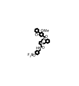 COc1cc(C(=O)N2Cc3ccc(C(=O)NCc4ccc(OC(F)(F)F)cc4)n3Cc3ccccc32)ccc1-c1ccccc1C